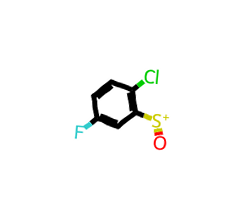 O=[S+]c1cc(F)ccc1Cl